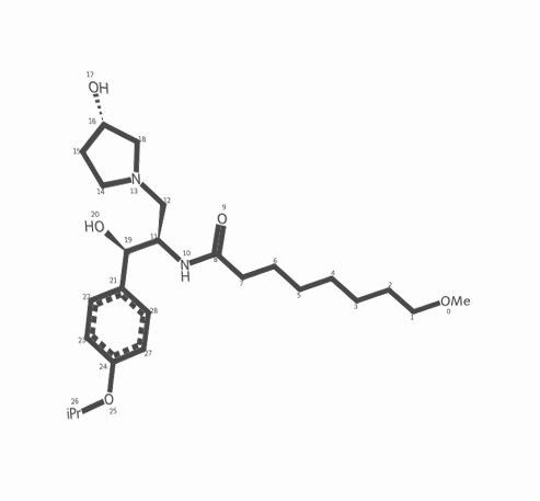 COCCCCCCCC(=O)N[C@H](CN1CC[C@H](O)C1)[C@H](O)c1ccc(OC(C)C)cc1